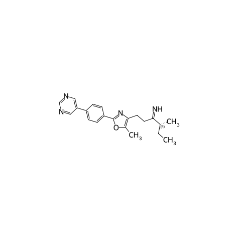 CC[C@@H](C)C(=N)CCc1nc(-c2ccc(-c3cncnc3)cc2)oc1C